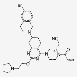 C=CC(=O)N1CCN(c2nc(OCCN3CCCC3)nc3c2CCC(N2CCc4cc(Br)ccc4C2)C3)C[C@@H]1CC#N